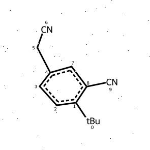 CC(C)(C)c1ccc(CC#N)cc1C#N